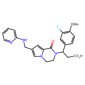 COc1ccc(C(CC(=O)O)N2CCn3cc(CNc4ccccn4)cc3C2=O)cc1F